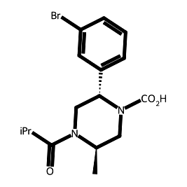 CC(C)C(=O)N1C[C@H](c2cccc(Br)c2)N(C(=O)O)C[C@H]1C